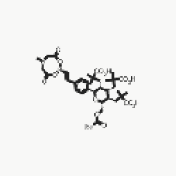 CN1CC(=O)OB(/C=C/c2ccc([C@@H]3O[C@@H](COC(=O)C(C)(C)C)[C@H](CC(C)(C)C(=O)O)[C@H](CC(C)(C)C(=O)O)[C@H]3CC(C)(C)C(=O)O)cc2)OC(=O)C1